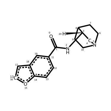 O=C(N[C@H]1CN2CCC1CC2)c1ccc2o[13cH]cc2c1